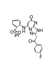 CC(C)S(=O)(=O)c1ccccc1Nc1cc(=O)nc2[nH]c(CC(=O)c3ccc(F)cc3)nn12